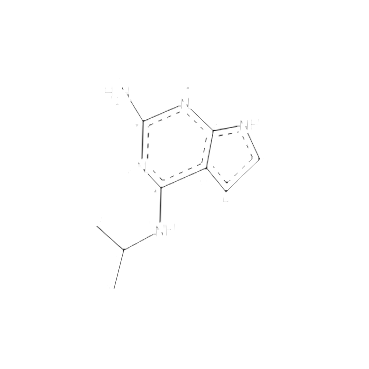 CC(C)Nc1nc(N)nc2[nH]ccc12